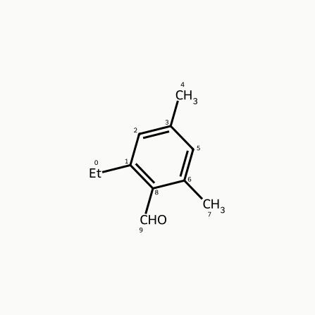 CCc1cc(C)cc(C)c1C=O